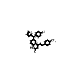 O=c1cc(C=Cc2ccc(C(F)(F)F)cc2)c2cc(C(c3ccc(Cl)cc3)c3cccs3)ccc2[nH]1